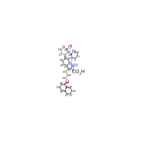 O=C(O)c1[nH]c2c(-c3cccnc3C3CCCCC3=O)cccc2c1CCCOc1cccc2ccccc12